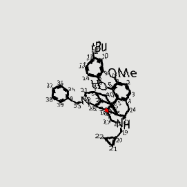 COc1ccc2c(c1Oc1ccc(C(C)(C)C)cc1)C13CCN(CC4CC4)[C@H](C2)C12CCC1C3[C@@H](CN1Cc1ccccc1)C2